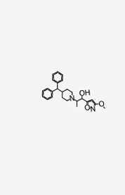 COc1cc(C(O)C(C)N2CCC(C(c3ccccc3)c3ccccc3)CC2)on1